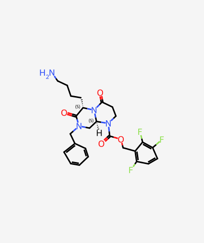 NCCCC[C@H]1C(=O)N(Cc2ccccc2)C[C@@H]2N(C(=O)OCc3c(F)ccc(F)c3F)CCC(=O)N21